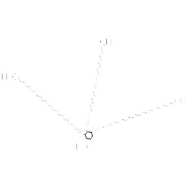 CCCCCCCCCCCCCCCCCCCCCCCCSc1cc(CC)cc(SCCCCCCCCCCCCCCCCCCCCCCCC)c1SCCCCCCCCCCCCCCCCCCCCCCCC